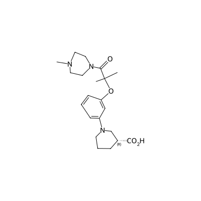 CN1CCN(C(=O)C(C)(C)Oc2cccc(N3CCC[C@@H](C(=O)O)C3)c2)CC1